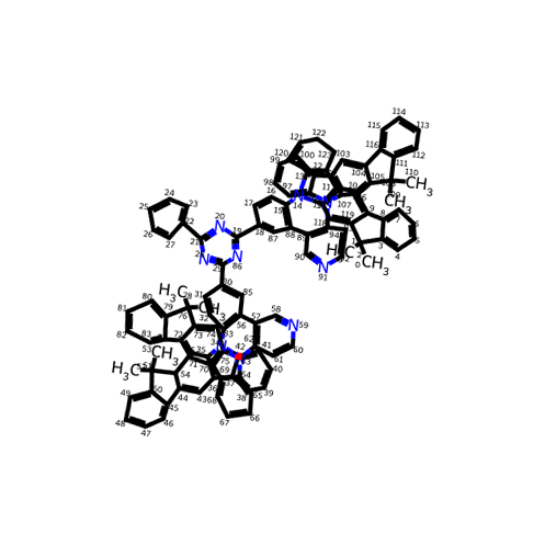 CC1(C)c2ccccc2-c2cc3c4c(n(-c5ccc(-c6nc(-c7ccccc7)nc(-c7ccc(-n8c9c(c%10ccccc%108)C=C8c%10ccccc%10C(C)(C)C8C9)c(-c8cnccc8-n8c9ccccc9c9cc%10c(cc98)C(C)(C)c8ccccc8-%10)c7)n6)cc5-c5cnccc5-n5c6ccccc6c6cc7c(cc65)C(C)(C)c5ccccc5-7)c3cc21)C=CCC4